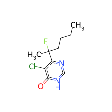 CCCCC(C)(F)c1nc[nH]c(=O)c1Cl